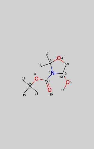 CO[C@H]1COC(C)(C)N1C(=O)OC(C)(C)C